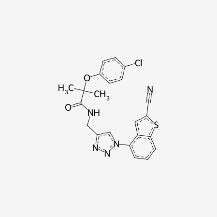 CC(C)(Oc1ccc(Cl)cc1)C(=O)NCc1cn(-c2cccc3sc(C#N)cc23)nn1